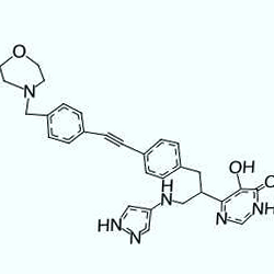 O=c1[nH]cnc(C(CNc2cn[nH]c2)Cc2ccc(C#Cc3ccc(CN4CCOCC4)cc3)cc2)c1O